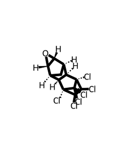 ClC1=C(Cl)[C@]2(Cl)[C@@H]3[C@H]4C[C@H]([C@@H]5O[C@H]45)[C@@H]3[C@@]1(Cl)C2(Cl)Cl